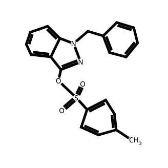 Cc1ccc(S(=O)(=O)Oc2nn(Cc3ccccc3)c3ccccc23)cc1